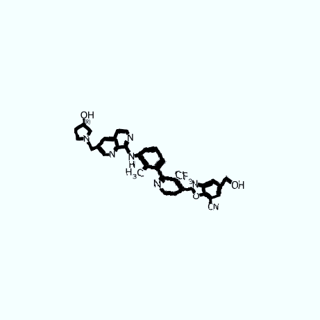 Cc1c(Nc2nccc3cc(CN4CC[C@@H](O)C4)cnc23)cccc1-c1nccc(-c2nc3cc(CO)cc(C#N)c3o2)c1C(F)(F)F